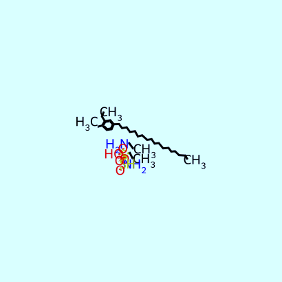 CCCCCCCCCCCCCCCCCCc1ccc(CC)c(CC)c1.CCCN.CCCS(=O)(=O)O.N[SH](=O)=O